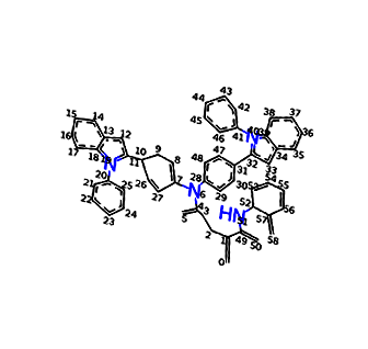 C=C(CCC(=C)N(C1=CCC(c2cc3ccccc3n2-c2ccccc2)C=C1)c1ccc(-c2cc3ccccc3n2-c2ccccc2)cc1)C(=C)NC1C=CC=CC1=C